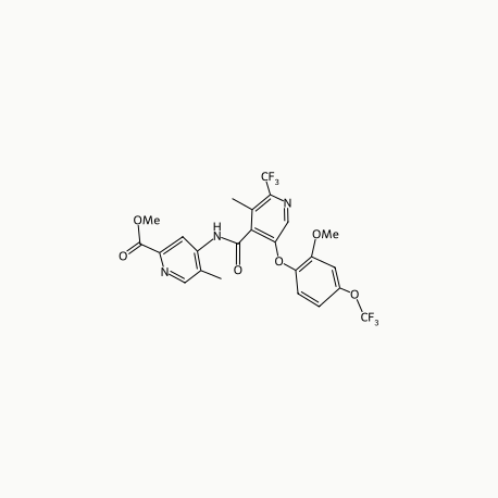 COC(=O)c1cc(NC(=O)c2c(Oc3ccc(OC(F)(F)F)cc3OC)cnc(C(F)(F)F)c2C)c(C)cn1